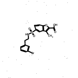 Cc1c(C(=O)O)oc2ccc(S(=O)(=O)NCCc3cccc(Br)c3)cc12